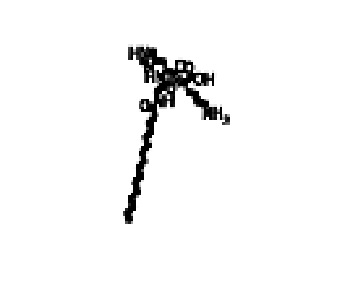 CCCCCCCCCCCCCCCC(=O)NCC(=O)N[C@@H](Cc1c[nH]cn1)C(=O)N[C@@H](CCCCN)C(=O)O